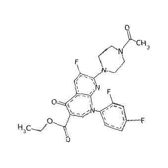 CCOC(=O)c1cn(-c2ccc(F)cc2F)c2nc(N3CCN(C(C)=O)CC3)c(F)cc2c1=O